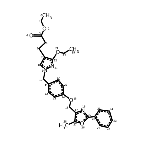 CCOC(=O)CCc1cn(Cc2ccc(OCc3nc(-c4ccccc4)oc3C)cc2)nc1OCC